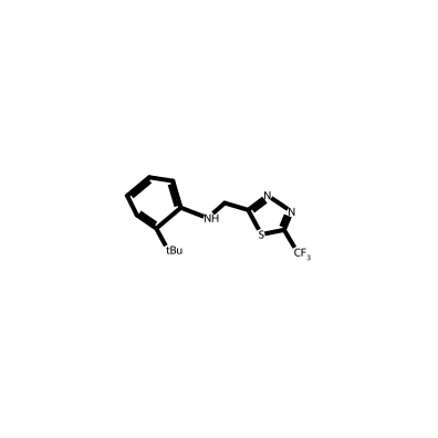 CC(C)(C)c1ccccc1NCc1nnc(C(F)(F)F)s1